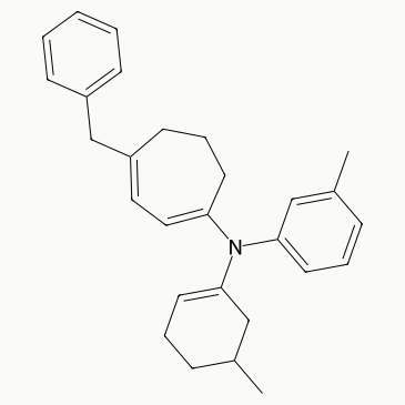 Cc1cccc(N(C2=CC=C(Cc3ccccc3)CCC2)C2=CCCC(C)C2)c1